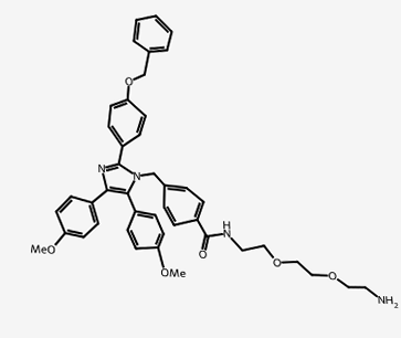 COc1ccc(-c2nc(-c3ccc(OCc4ccccc4)cc3)n(Cc3ccc(C(=O)NCCOCCOCCN)cc3)c2-c2ccc(OC)cc2)cc1